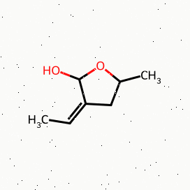 C/C=C1/CC(C)OC1O